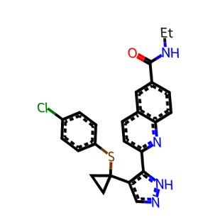 CCNC(=O)c1ccc2nc(-c3[nH]ncc3C3(Sc4ccc(Cl)cc4)CC3)ccc2c1